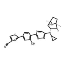 C[C@]12CC[C@](C)(N1)[C@H](F)[C@H](N(c1cnc(-c3ccc(-c4nc(C#N)cs4)cc3O)nn1)C1CC1)C2